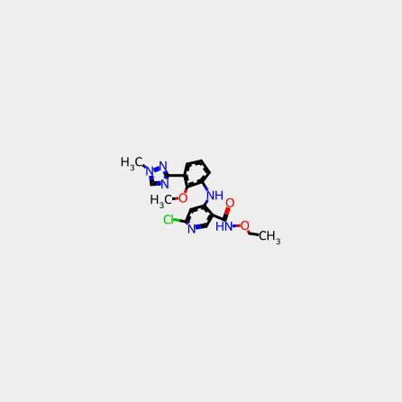 CCONC(=O)c1cnc(Cl)cc1Nc1cccc(-c2ncn(C)n2)c1OC